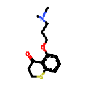 CN(C)CCCOc1cccc2c1C(=O)CCS2